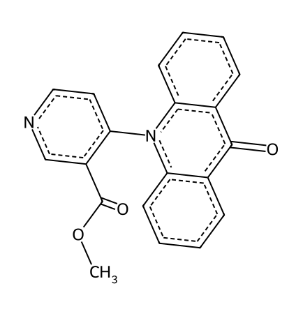 COC(=O)c1cnccc1-n1c2ccccc2c(=O)c2ccccc21